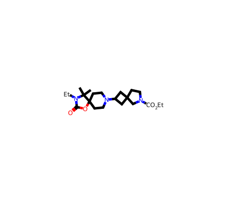 CCOC(=O)N1CCC2(CC(N3CCC4(CC3)OC(=O)N(CC)C4(C)C)C2)C1